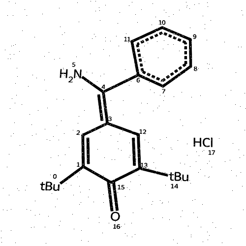 CC(C)(C)C1=CC(=C(N)c2ccccc2)C=C(C(C)(C)C)C1=O.Cl